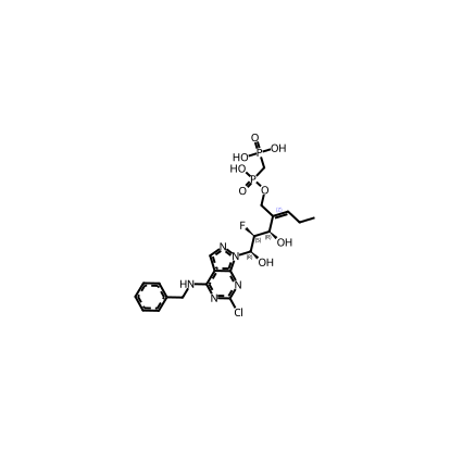 CC/C=C(/COP(=O)(O)CP(=O)(O)O)[C@@H](O)[C@H](F)[C@@H](O)n1ncc2c(NCc3ccccc3)nc(Cl)nc21